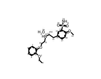 CCOc1ccccc1OCCN[C@H](C)Cc1ccc(OC)c(S(N)(=O)=O)c1.O